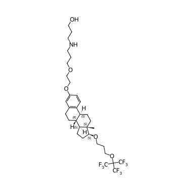 C[C@]12CC[C@@H]3c4ccc(OCCOCCCNCCCO)cc4CC[C@H]3[C@@H]1CC[C@@H]2OCCCOC(C(F)(F)F)(C(F)(F)F)C(F)(F)F